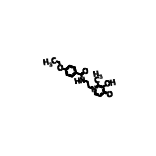 CCOc1ccc(C(=O)NCCn2ccc(=O)c(O)c2C)cc1